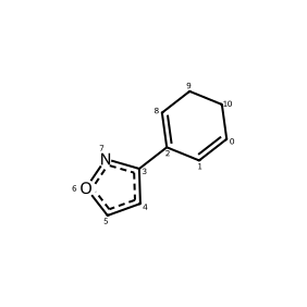 C1=CC(c2ccon2)=CCC1